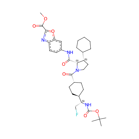 COC(=O)c1nc2ccc(NC(=O)[C@@H]3[C@H](C4CCCCC4)CCN3C(=O)[C@H]3CC[C@H]([C@@H](CF)NC(=O)OC(C)(C)C)CC3)cc2o1